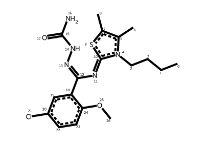 CCCCn1c(C)c(C)sc1=NC(=NNC(N)=O)c1cc(Cl)ccc1OC